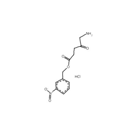 Cl.NCC(=O)CCC(=O)OCc1cccc([N+](=O)[O-])c1